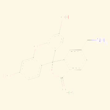 Br.NCc1ccc2c(c1)C1(OC2=O)c2ccc(O)cc2Oc2cc(O)ccc21